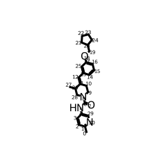 Cc1ccc(NC(=O)N2CCC(=Cc3cccc(OCC4CCCC4)c3)C(C)C2)cn1